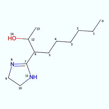 CCCCCCC(C1=NCCN1)C(C)O